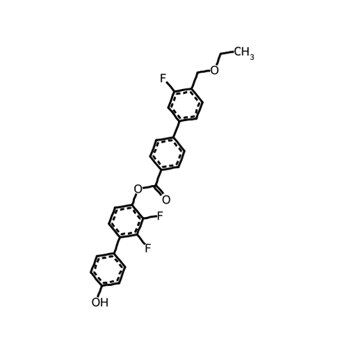 CCOCc1ccc(-c2ccc(C(=O)Oc3ccc(-c4ccc(O)cc4)c(F)c3F)cc2)cc1F